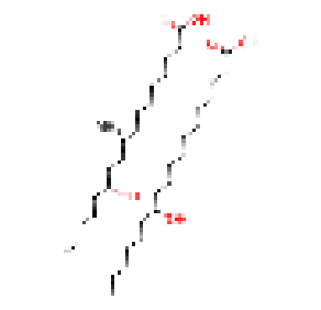 CCCCCCC(O)CCCCCCCCCCC(=O)O.CCCCCCC(O)CCCCCCCCCCC(=O)O.[AlH3]